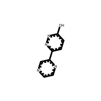 Oc1ccc(-c2cnccn2)nn1